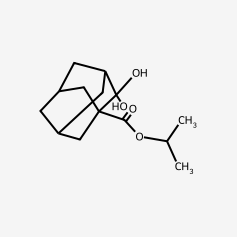 CC(C)OC(=O)C12CC3CC(CC(C3)C1(O)O)C2